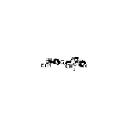 CCc1nc(-c2ccc(OCC(C)CCCN3CCN(c4ccncc4)C3=O)cc2)no1